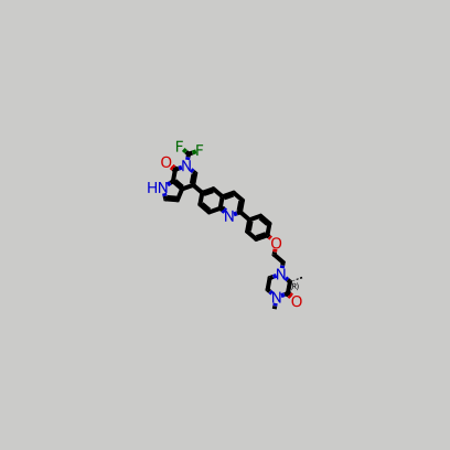 C[C@@H]1C(=O)N(C)CCN1CCOc1ccc(-c2ccc3cc(-c4cn(C(F)F)c(=O)c5[nH]ccc45)ccc3n2)cc1